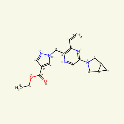 C=Cc1nc(N2CC3CC3C2)cnc1Cn1cc(C(=O)OCC)cn1